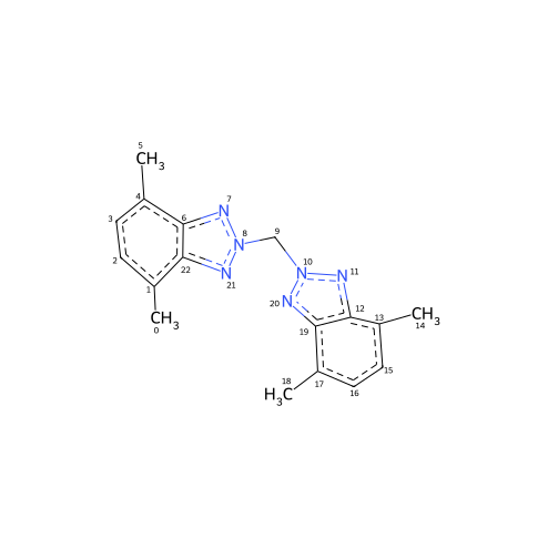 Cc1ccc(C)c2nn(Cn3nc4c(C)ccc(C)c4n3)nc12